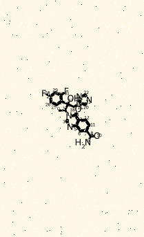 CC(n1cnc2cc(C(N)=O)ccc2c1=O)C(O)(Cn1cncn1)c1ccc(F)cc1F